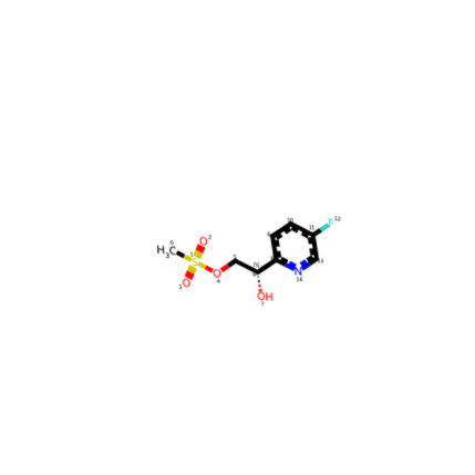 CS(=O)(=O)OC[C@@H](O)c1ccc(F)cn1